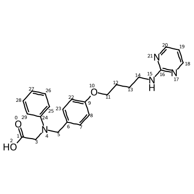 O=C(O)CN(Cc1ccc(OCCCCNc2ncccn2)cc1)c1ccccc1